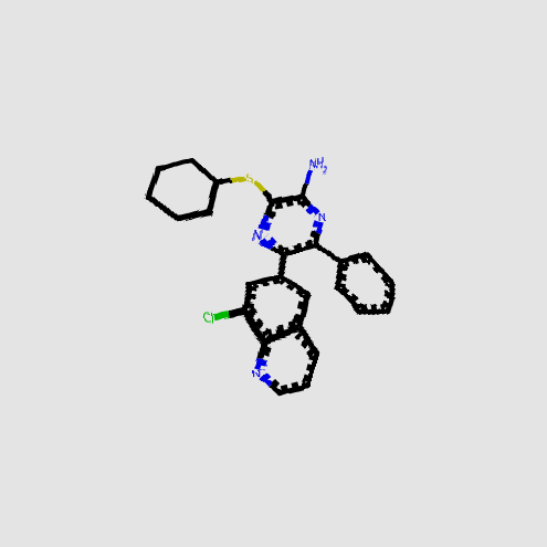 Nc1nc(-c2ccccc2)c(-c2cc(Cl)c3ncccc3c2)nc1SC1CCCCC1